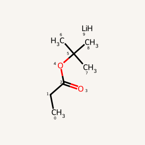 CCC(=O)OC(C)(C)C.[LiH]